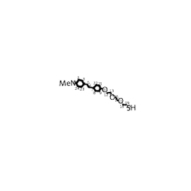 CNc1ccc(/C=C/c2ccc(OCCOCCOCCS)cc2)cc1